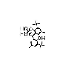 Cc1cc(Cc2cc(C)cc(C(C)(C)C)c2OP(=O)(O)O)c(O)c(C(C)(C)C)c1